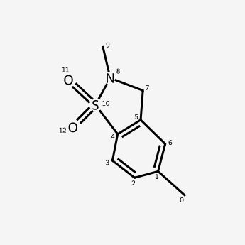 Cc1ccc2c(c1)CN(C)S2(=O)=O